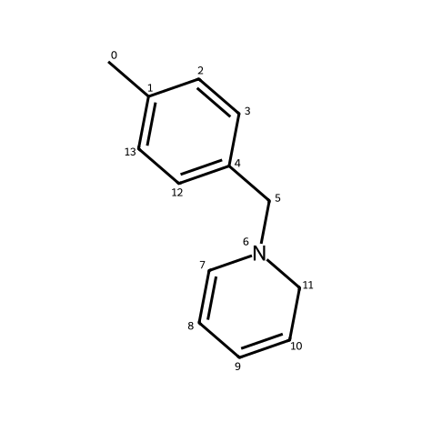 Cc1ccc(CN2C=CC=CC2)cc1